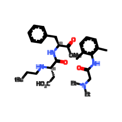 CCN(CC)CC(=O)Nc1c(C)cccc1C.COC(=O)[C@H](Cc1ccccc1)NC(=O)[C@H](CC(=O)O)NCCC(C)(C)C